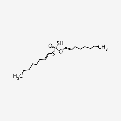 CCCCCC/C=C/OP(=O)(S)S/C=C/CCCCCC